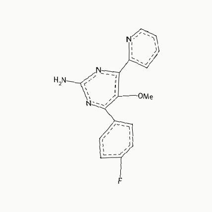 COc1c(-c2ccc(F)cc2)nc(N)nc1-c1ccccn1